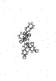 O=C(N[N+]1(OS(=O)(=O)c2ccc3ccccc3c2)CCCCC1)C1=NN(c2ccc(Cl)cc2Cl)C(c2ccc(Cl)cc2)C1